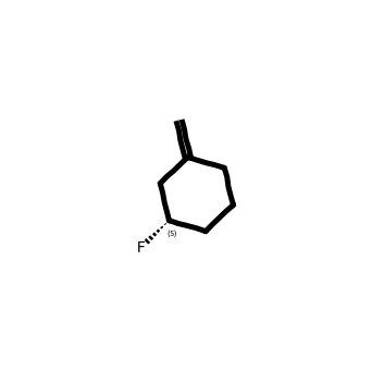 C=C1CCC[C@H](F)C1